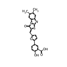 Cc1cc2nc3s/c(=C\c4ccc(-c5ccc(O)c(C(=O)O)c5)o4)c(=O)n3c2cc1C